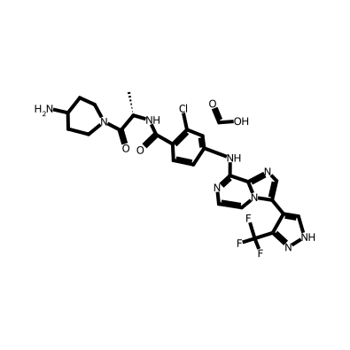 C[C@H](NC(=O)c1ccc(Nc2nccn3c(-c4c[nH]nc4C(F)(F)F)cnc23)cc1Cl)C(=O)N1CCC(N)CC1.O=CO